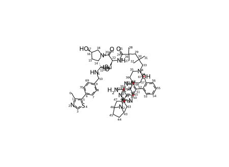 Cc1ncsc1-c1ccc(CNC(=O)[C@@H]2C[C@@H](O)CN2C(=O)[C@@H](NC(=O)C(C)(C)CC(C)(C)CN2CCC(c3cnc(N4C5CCC4CN(c4cc(-c6ccccc6O)nnc4N)C5)nc3)CC2)C(C)(C)C)cc1